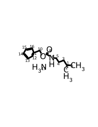 CC(C)CCCNC(=O)OCc1ccccc1.N